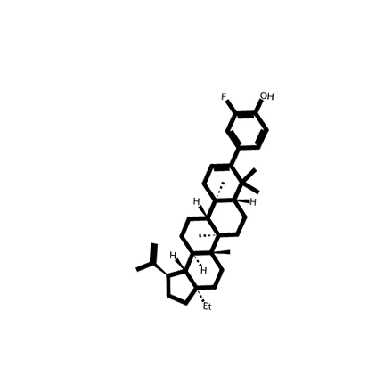 C=C(C)[C@@H]1CC[C@]2(CC)CC[C@]3(C)[C@H](CC[C@@H]4[C@@]5(C)CC=C(c6ccc(O)c(F)c6)C(C)(C)[C@@H]5CC[C@]43C)[C@@H]12